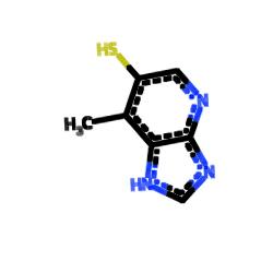 Cc1c(S)cnc2nc[nH]c12